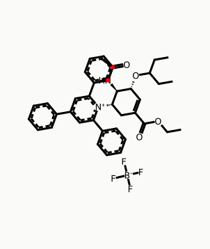 CCOC(=O)C1=C[C@@H](OC(CC)CC)[C@H](NC(C)=O)[C@@H]([n+]2c(-c3ccccc3)cc(-c3ccccc3)cc2-c2ccccc2)C1.F[B-](F)(F)F